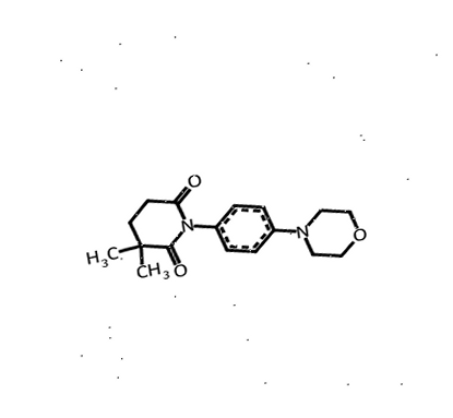 CC1(C)CCC(=O)N(c2ccc(N3CCOCC3)cc2)C1=O